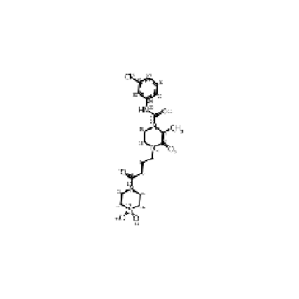 C[C@H]1C(=O)N(CCCC(=O)N2CCS(=O)(=O)CC2)CCN1C(=O)Nc1cccc(Cl)c1